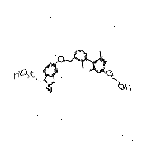 Cc1cc(OCCO)cc(C)c1-c1cccc(COc2ccc3c(c2)CC2(CC2)C3CC(=O)O)c1C